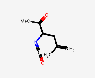 C=C(C)CC(N=C=O)C(=O)OC